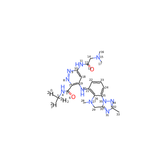 [2H]C([2H])([2H])NC(=O)c1nnc(NC(=O)CN(C)C)cc1Nc1cccc2c1N(C)Cc1nc(C)nn1-2